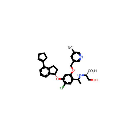 CC(N[C@@H](CO)C(=O)O)c1cc(Cl)c(O[C@H]2CCc3c(C4=CCCC4)cccc32)cc1OCc1cncc(C#N)c1